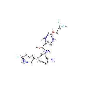 Nc1ccc(-c2ccc(F)nc2)cc1NC(=O)c1cnc(OCC(F)F)cn1